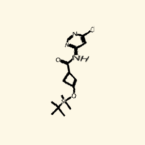 CC(C)(C)[Si](C)(C)OC1CC(C(=O)Nc2cc(Cl)ncn2)C1